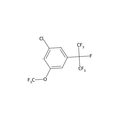 FC(F)(F)Oc1[c]c(Cl)cc(C(F)(C(F)(F)F)C(F)(F)F)c1